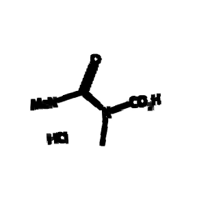 CNC(=O)N(C)C(=O)O.Cl